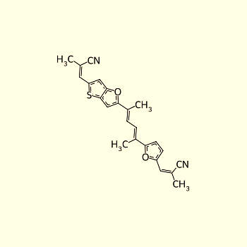 C/C(C#N)=C/c1ccc(/C(C)=C/C=C(\C)c2cc3sc(/C=C(/C)C#N)cc3o2)o1